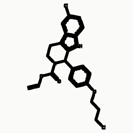 C=COC(=O)N1CCc2c([nH]c3ccc(Cl)cc23)C1c1ccc(OCCCCl)cc1